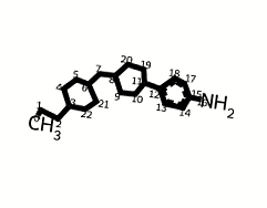 CCCC1CCC(CC2CCC(c3ccc(N)cc3)CC2)CC1